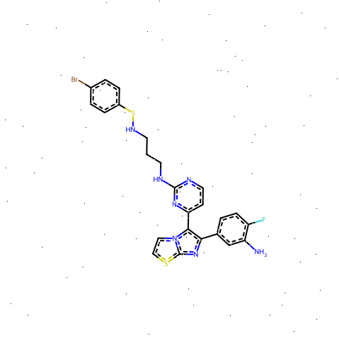 Nc1cc(-c2nc3sccn3c2-c2ccnc(NCCCNSc3ccc(Br)cc3)n2)ccc1F